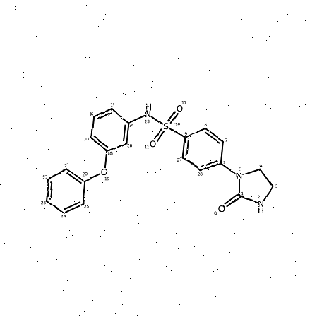 O=C1NCCN1c1ccc(S(=O)(=O)Nc2cccc(Oc3ccccc3)c2)cc1